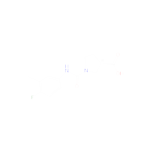 Cc1cc(NC(=O)N2CC[C@H](C(=O)O)C2)ccc1F